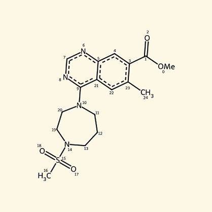 COC(=O)c1cc2ncnc(N3CCCN(S(C)(=O)=O)CC3)c2cc1C